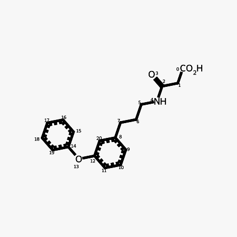 O=C(O)CC(=O)NCCCc1cccc(Oc2ccccc2)c1